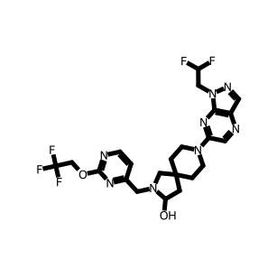 OC1CC2(CCN(c3cnc4cnn(CC(F)F)c4n3)CC2)CN1Cc1ccnc(OCC(F)(F)F)n1